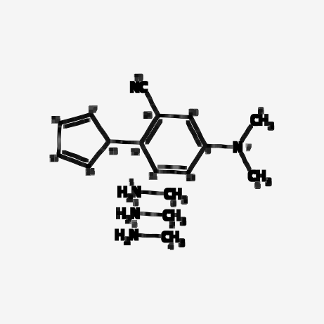 CN.CN.CN.CN(C)c1ccc(C2C=CC=C2)c(C#N)c1